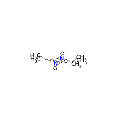 CC(C)CCCCCCc1ccc(-c2cc3c4c(c(-c5ccc(CCC(C)CCCC(C)C)cc5)cc5c4c2N=C(c2ccccc2)C5)N=C(c2ccccc2)C3)cc1